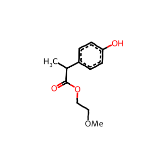 COCCOC(=O)C(C)c1ccc(O)cc1